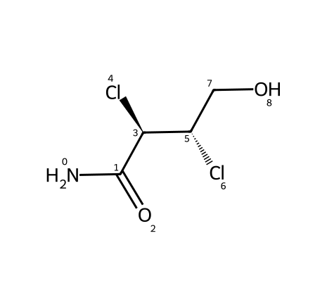 NC(=O)[C@@H](Cl)[C@@H](Cl)CO